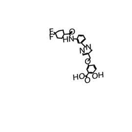 O=C(O)c1cc(OCc2cnc(-c3cccc(NC(=O)C4CCC(F)(F)CC4)c3)nc2)ccc1O